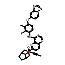 CC#CC(=O)C1C2CCC1CN(c1ccc3ncnc(Nc4ccc(Oc5ccn6ncnc6c5)c(C)c4F)c3n1)C2